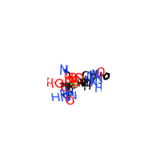 C[C@H]1[C@H](n2cnc3c(NC(=O)c4ccccc4)ncnc32)[C@H]2C[C@]2(COP(=O)(OCCC#N)O[C@H]2[C@@H](F)[C@H](n3cnc4c(=O)[nH]cnc43)O[C@@H]2CO)[C@H]1O